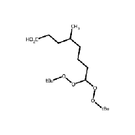 CC(CCCC(OOC(C)(C)C)OOC(C)(C)C)CCC(=O)O